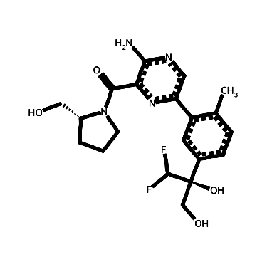 Cc1ccc([C@](O)(CO)C(F)F)cc1-c1cnc(N)c(C(=O)N2CCC[C@@H]2CO)n1